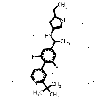 CCC1CC(NC(C)c2cc(F)c(-c3ccnc(C(C)(C)C)c3)c(F)c2)=CN1